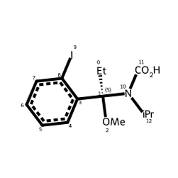 CC[C@](OC)(c1ccccc1I)N(C(=O)O)C(C)C